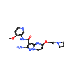 COc1ccncc1NC(=O)c1c(N)nn2ccc(OCCN3CCC3)nc12